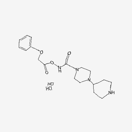 Cl.Cl.O=C(COc1ccccc1)ONC(=O)N1CCN(C2CCNCC2)CC1